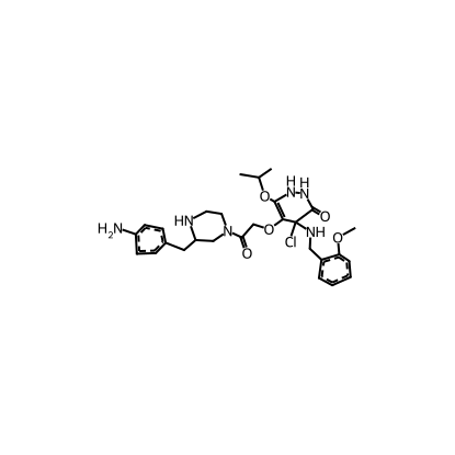 COc1ccccc1CNC1(Cl)C(=O)NNC(OC(C)C)=C1OCC(=O)N1CCNC(Cc2ccc(N)cc2)C1